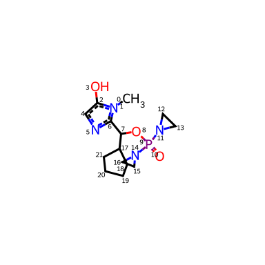 Cn1c(O)cnc1C(OP(=O)(N1CC1)N1CC1)C1CCCC1